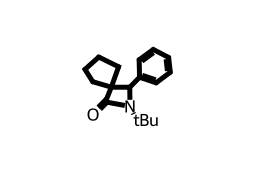 CC(C)(C)N1C(=O)C2(CCCC2)C1c1ccccc1